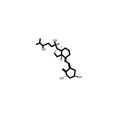 C=C1/C(=C\C=C2/CCC[C@@]3(C)[C@H]2CC[C@@H]3[C@@](C)(O)CCC(O)C(C)C)C[C@@H](O)C[C@@H]1O